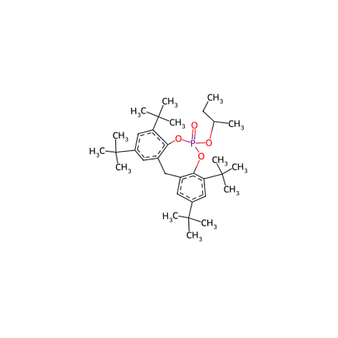 CCC(C)OP1(=O)Oc2c(cc(C(C)(C)C)cc2C(C)(C)C)Cc2cc(C(C)(C)C)cc(C(C)(C)C)c2O1